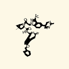 CC(=O)c1nn(CC(=O)N2C3C[C@]3(C)C[C@H]2C(=O)Nc2cc(OCc3ccccc3)cc(Br)n2)c2ccc(-c3cnc(C)nc3)cc12